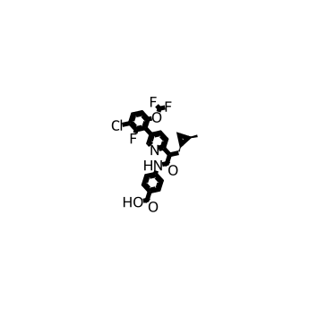 C[C@@H]1C[C@H]1CC(C(=O)Nc1ccc(C(=O)O)cc1)c1ccc(-c2c(OC(F)F)ccc(Cl)c2F)cn1